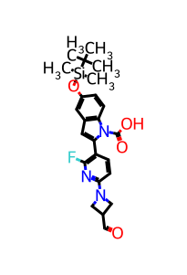 CC(C)(C)[Si](C)(C)Oc1ccc2c(c1)cc(-c1ccc(N3CC(C=O)C3)nc1F)n2C(=O)O